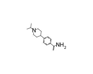 C=C(N)c1ccc(C2CCN(C(C)C)CC2)cc1